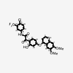 COc1cc2nccc(Oc3ccc(C(=O)C(=O)Nc4ccc(Cl)c(C(F)(F)F)c4)c(O)c3)c2cc1OC